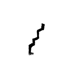 C=CCCC/C=C/C[CH]C